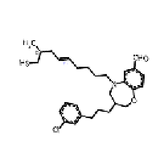 C[C@H](CS)C/C=C/CCCCN1CC(CCCc2cccc(Cl)c2)COc2ccc(C=O)cc21